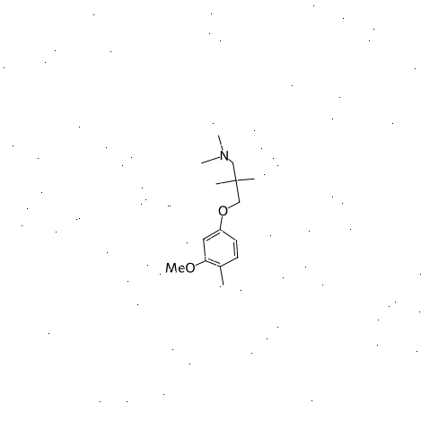 COc1cc(OCC(C)(C)CN(C)C)ccc1C